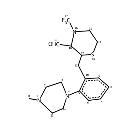 CN1CCN(c2ccccc2CC2SCCN(C(F)(F)F)C2C=O)CC1